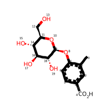 Cc1cc(C(=O)O)ccc1O[C@@H]1O[C@H](CO)[C@@H](O)[C@H](O)[C@H]1O